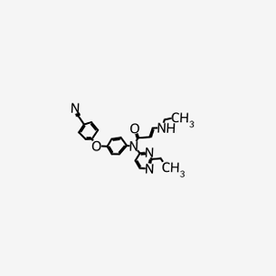 CCNC=CC(=O)N(c1ccc(Oc2ccc(C#N)cc2)cc1)c1ccnc(CC)n1